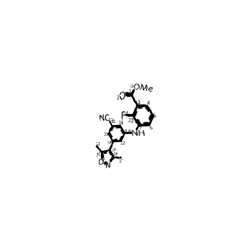 COC(=O)c1cccc(Nc2cc(C#N)cc(-c3c(C)noc3C)c2)c1F